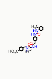 Cc1ccccc1NC(=O)Nc1ccc(CC(=O)N[C@@H](CC(C)C)C(=O)NCc2ccc(C(=O)O)cc2)cc1